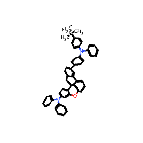 C[Si](C)(C)c1ccc(N(c2ccccc2)c2ccc(-c3ccc4cc5c6c(cccc6c4c3)Oc3cc(N(c4ccccc4)c4ccccc4)ccc3-5)cc2)cc1